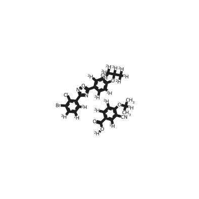 [2H]OC(=O)c1c([2H])c([2H])c(OC([2H])(C)C)c(C#N)c1[2H].[2H]c1c([2H])c(Br)c(Cl)c(-c2noc(-c3c([2H])c([2H])c(OC([2H])(C([2H])([2H])[2H])C([2H])([2H])[2H])c(C#N)c3[2H])n2)c1[2H]